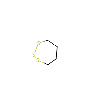 C1CCSSSC1